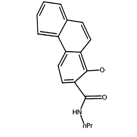 CCCNC(=O)c1ccc2c(ccc3ccccc32)c1[O]